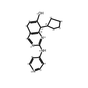 OC1=CCc2cnc(Nc3ccncc3)nc2C1C1CCCC1